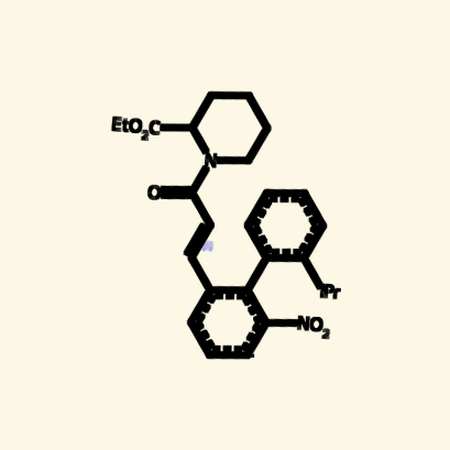 CCOC(=O)C1CCCCN1C(=O)/C=C/c1cc[c]c([N+](=O)[O-])c1-c1ccccc1C(C)C